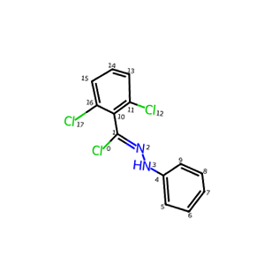 ClC(=NNc1ccccc1)c1c(Cl)cccc1Cl